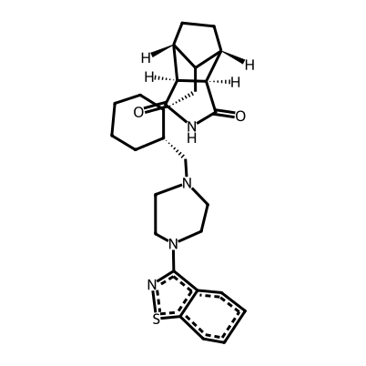 O=C1NC(=O)[C@H]2[C@@H]1[C@@H]1CC[C@H]2C1C[C@H]1CCCC[C@H]1CN1CCN(c2nsc3ccccc23)CC1